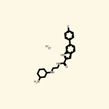 NC1CCCC(NCCNC(=O)c2cc3ccc(-c4ccc(F)cc4)cc3[nH]2)C1.[Cl-].[H+]